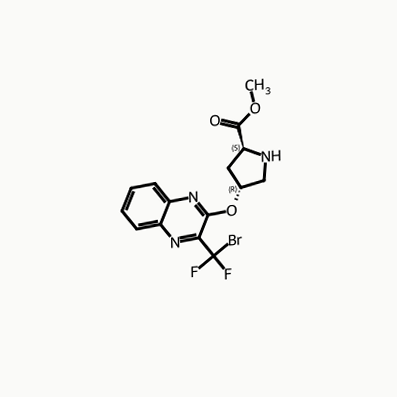 COC(=O)[C@@H]1C[C@@H](Oc2nc3ccccc3nc2C(F)(F)Br)CN1